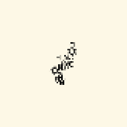 N[C@H](Cc1ccc(Cl)cc1)C(=O)N1CCN(c2ccccc2Cn2cncn2)CC1